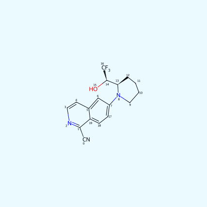 N#Cc1nccc2cc(N3CCCC[C@@H]3[C@@H](O)C(F)(F)F)ccc12